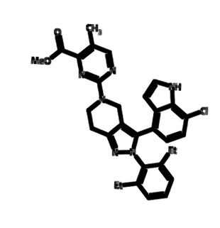 CCc1cccc(CC)c1-n1nc2c(c1-c1ccc(Cl)c3[nH]ccc13)CN(c1ncc(C)c(C(=O)OC)n1)CC2